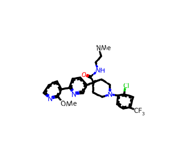 CNCCNC(=O)C1(c2ccc(-c3cccnc3OC)nc2)CCN(c2ccc(C(F)(F)F)cc2Cl)CC1